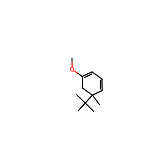 COC1=CC=CC(C)(C(C)(C)C)C1